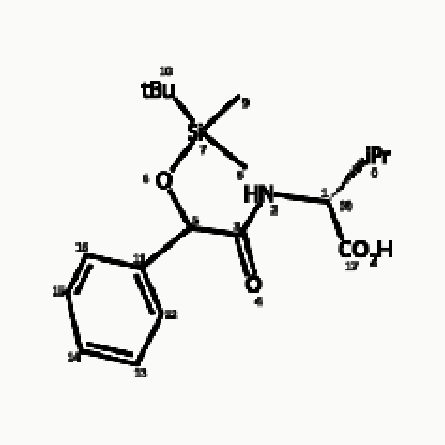 CC(C)[C@@H](NC(=O)C(O[Si](C)(C)C(C)(C)C)c1ccccc1)C(=O)O